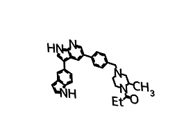 CCC(=O)N1CCN(Cc2ccc(-c3cnc4[nH]cc(-c5ccc6[nH]ccc6c5)c4c3)cc2)CC1C